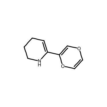 C1=COC(C2=CCCCN2)=CO1